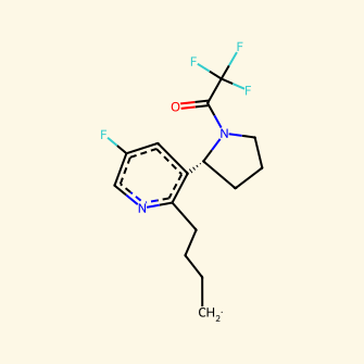 [CH2]CCCc1ncc(F)cc1[C@H]1CCCN1C(=O)C(F)(F)F